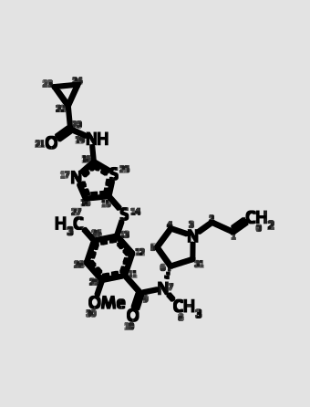 C=CCN1CC[C@@H](N(C)C(=O)c2cc(Sc3cnc(NC(=O)C4CC4)s3)c(C)cc2OC)C1